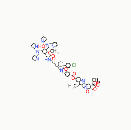 CCc1c2c(nc3ccc(OC(=O)c4ccc(CN(CCCCCC(=O)NC(Cc5cc(CN(Cc6ccccn6)Cc6ccccn6)c(O)c(CN(Cc6ccccn6)Cc6ccccn6)c5)C(=O)OC)C(=O)C5(c6ccc(Cl)cc6)CCCCC5)cc4)cc13)-c1cc3c(c(=O)n1C2)COC(=O)[C@]3(O)CC